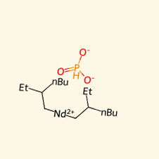 CCCCC(CC)[CH2][Nd+2][CH2]C(CC)CCCC.O=[PH]([O-])[O-]